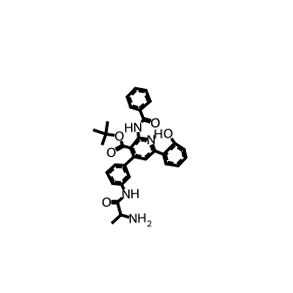 CC(N)C(=O)Nc1cccc(-c2cc(-c3ccccc3O)nc(NC(=O)c3ccccc3)c2C(=O)OC(C)(C)C)c1